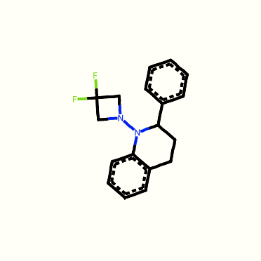 FC1(F)CN(N2c3cc[c]cc3CCC2c2ccccc2)C1